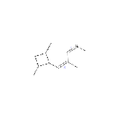 C/N=C\C(C)=C/C1C(C)CC1C